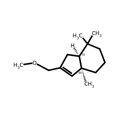 COCC1=C[C@]2(C)CCCC(C)(C)[C@@H]2C1